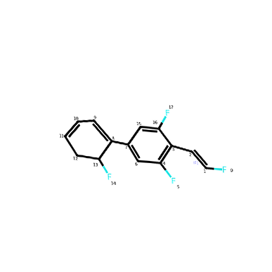 F/C=C/c1c(F)cc(C2=CC=CCC2F)cc1F